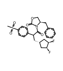 CS(=O)(=O)c1ccc(C(C[C@@H]2C[C@@H](F)[C@@H](F)C2)C(=O)N2C(=O)OC[C@H]2Cc2ccccc2)cc1